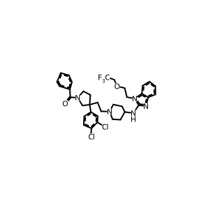 O=C(c1ccccc1)N1CCC(CCN2CCC(Nc3nc4ccccc4n3CCOCC(F)(F)F)CC2)(c2ccc(Cl)c(Cl)c2)C1